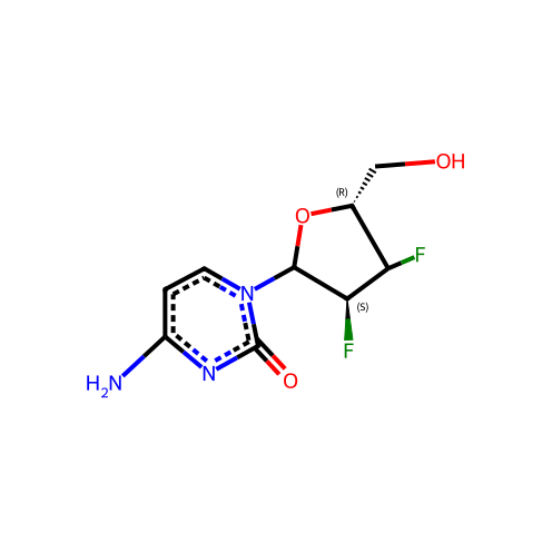 Nc1ccn(C2O[C@H](CO)C(F)[C@H]2F)c(=O)n1